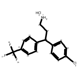 Cl.NCCC(c1ccc(Cl)cc1)c1ccc(C(F)(F)F)cc1